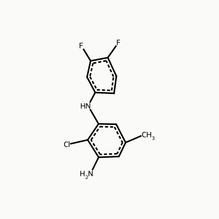 Cc1cc(N)c(Cl)c(Nc2ccc(F)c(F)c2)c1